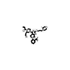 C=CC(=O)N1CCN(c2nc(OCCCN3CCOC[C@H]3C)nc3c2CCN(c2ccccc2C(F)(F)F)C3)CC1CC#N